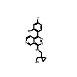 OCC1(CNc2nnc(-c3ccc(Cl)cc3O)c3ccncc23)CC1